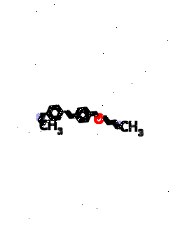 C/C=C\[C@H]1CC[C@H](CCc2ccc(COCC/C=C/C)cc2)CC1